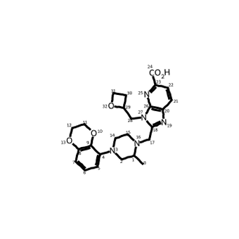 CC1CN(c2cccc3c2OCCO3)CCN1Cc1nc2ccc(C(=O)O)nc2n1CC1CCO1